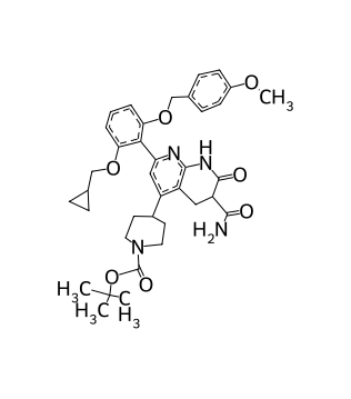 COc1ccc(COc2cccc(OCC3CC3)c2-c2cc(C3CCN(C(=O)OC(C)(C)C)CC3)c3c(n2)NC(=O)C(C(N)=O)C3)cc1